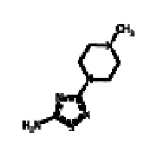 CN1CCN(c2nsc(N)n2)CC1